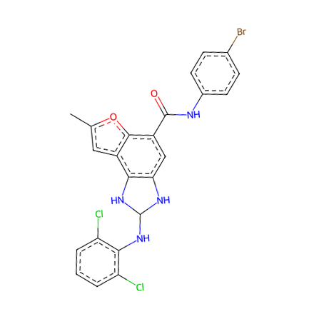 Cc1cc2c3c(cc(C(=O)Nc4ccc(Br)cc4)c2o1)NC(Nc1c(Cl)cccc1Cl)N3